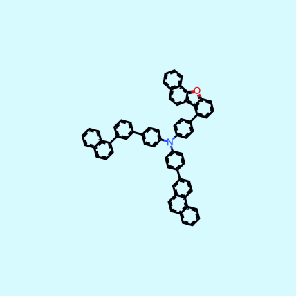 c1cc(-c2ccc(N(c3ccc(-c4ccc5c(ccc6ccccc65)c4)cc3)c3ccc(-c4cccc5oc6c7ccccc7ccc6c45)cc3)cc2)cc(-c2cccc3ccccc23)c1